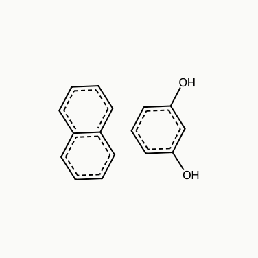 Oc1cccc(O)c1.c1ccc2ccccc2c1